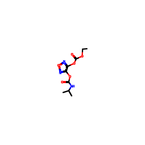 CCOC(=O)Oc1nonc1OC(=O)NC(C)C